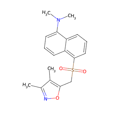 Cc1noc(CS(=O)(=O)c2cccc3c(N(C)C)cccc23)c1C